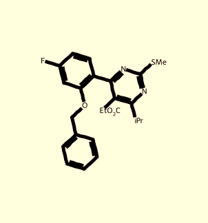 CCOC(=O)c1c(-c2ccc(F)cc2OCc2ccccc2)nc(SC)nc1C(C)C